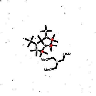 CC(N([Si](C)(C)C)[Si](C)(C)C)(N([Si](C)(C)C)[Si](C)(C)C)N([Si](C)(C)C)[Si](C)(C)C.CO[CH2][Cr]([CH2]OC)[CH2]OC